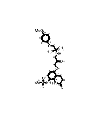 CCCCS(=O)(=O)Nc1ccc(OCC(O)CNC(C)(C)COc2ccc(OC)cc2)c2c1NC(=O)CC2